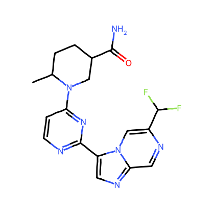 CC1CCC(C(N)=O)CN1c1ccnc(-c2cnc3cnc(C(F)F)cn23)n1